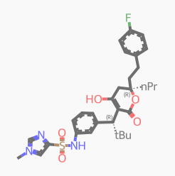 CCC[C@@]1(CCc2ccc(F)cc2)CC(O)=C([C@@H](c2cccc(NS(=O)(=O)c3cn(C)cn3)c2)C(C)(C)C)C(=O)O1